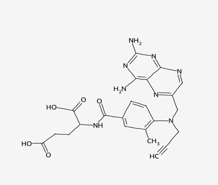 C#CCN(Cc1cnc2nc(N)nc(N)c2n1)c1ccc(C(=O)NC(CCC(=O)O)C(=O)O)cc1C